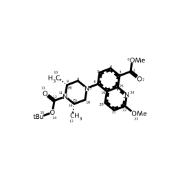 COC(=O)c1ccc(N2C[C@@H](C)N(C(=O)OC(C)(C)C)[C@@H](C)C2)c2ccc(OC)nc12